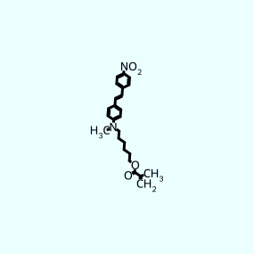 C=C(C)C(=O)OCCCCCCN(C)c1ccc(C=Cc2ccc([N+](=O)[O-])cc2)cc1